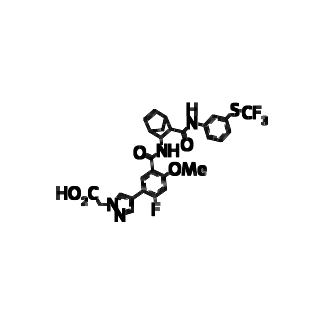 COc1cc(F)c(-c2cnn(CC(=O)O)c2)cc1C(=O)NC1C2C=CC(C2)C1C(=O)Nc1cccc(SC(F)(F)F)c1